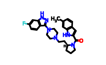 Cc1ccc2cc(C(=O)N3CCC[C@H]3CCN3CCN(c4n[nH]c5cc(F)ccc45)CC3)[nH]c2c1